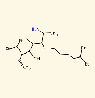 C=CC(C(CC)CC)C(C)C(C(C)C)C(CCCCCC(CC)CC)C(C)N